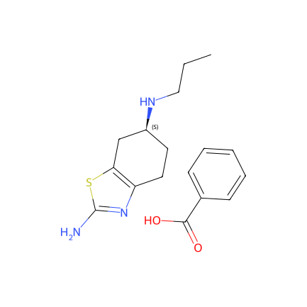 CCCN[C@H]1CCc2nc(N)sc2C1.O=C(O)c1ccccc1